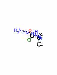 CC1CCC[C@H](c2cc(Nc3cc(Cl)cc(C(=O)NCCCN)n3)n(C(C)(C)C)n2)C1